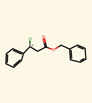 O=C(C[C@H](Cl)c1ccccc1)OCc1ccccc1